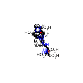 CCCCCCCCCCC(NCCCC[C@H](NC(=O)N[C@@H](CCC(=O)O)C(=O)O)C(=O)O)N1CCN(c2nc(Nc3ccc(CC4CN(CC(=O)O)CCN(CC(=O)O)CCN(CC(=O)O)CCN4CC(=O)O)cc3)nc(N3CCC(CCCC(=O)O)CC3)n2)CC1.[Lu+3]